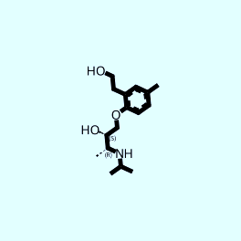 Cc1ccc(OC[C@@H](O)[C@@H](C)NC(C)C)c(CCO)c1